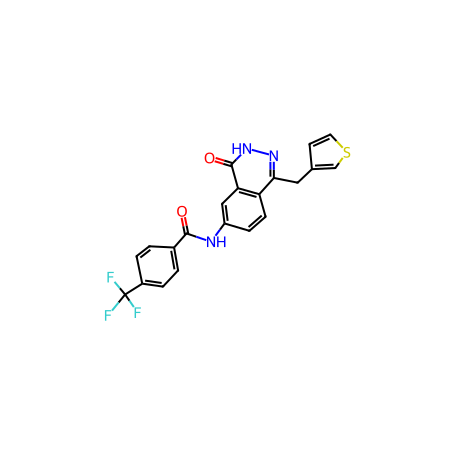 O=C(Nc1ccc2c(Cc3ccsc3)n[nH]c(=O)c2c1)c1ccc(C(F)(F)F)cc1